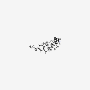 COc1ccc2c(c1)CC[C@@H]1[C@@H]2CC[C@@]2(C)[C@H]1CC[C@@]2(O)/C=C\Br